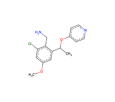 COc1cc(Cl)c(CN)c(C(C)Oc2ccncc2)c1